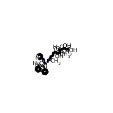 C/C(=C\C[C@H](O[Si](c1ccccc1)(c1ccccc1)C(C)(C)C)/C(C)=C/c1cccnc1)CCC[C@H](C)[C@H](O)[C@@H](C)C(=O)C(C)(C)[C@@H](O)CCO